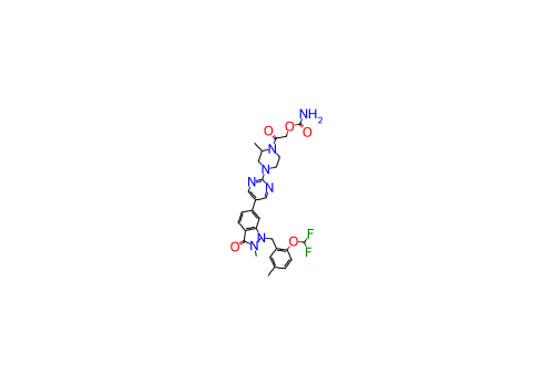 Cc1ccc(OC(F)F)c(Cn2c3cc(-c4cnc(N5CCN(C(=O)COC(N)=O)C(C)C5)nc4)ccc3c(=O)n2C)c1